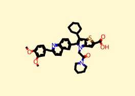 COc1ccc(-c2ccc3cc(-c4c(C5CCCCC5)c5sc(C(=O)O)cc5n4CC(=O)N4CCCCC4)ccc3n2)cc1OC